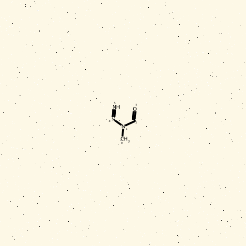 CN(C=O)N=N